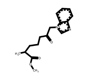 COC(=O)C(C)CCCC(=O)Cn1cnc2ccccc21